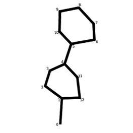 CC1CCC(C2CCCCC2)CC1